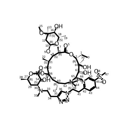 CC[C@H]1OC(=O)[C@H](C)[C@@H](O[C@H]2C[C@@](C)(OC)[C@@H](O)[C@H](C)O2)[C@H](C)[C@@H](O[C@@H]2O[C@H](C)C[C@H](N(C)CCc3cn([C@H](CF)Cc4ccc(S(C)(=O)=O)cn4)nn3)[C@H]2O)[C@](C)(O)C[C@@H](C)CN(C)[C@H](C)[C@@H](O)[C@]1(C)O